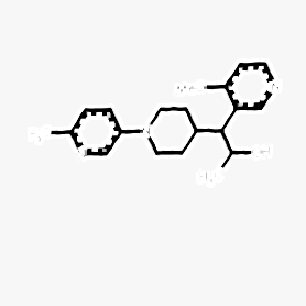 COc1ccncc1C(C(C)O)C1CCN(c2ccc(C(F)(F)F)nc2)CC1